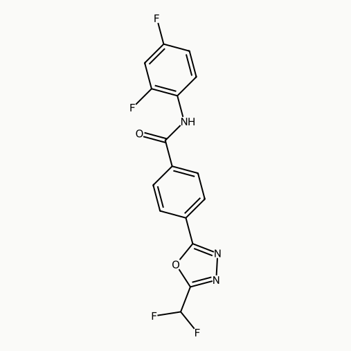 O=C(Nc1ccc(F)cc1F)c1ccc(-c2nnc(C(F)F)o2)cc1